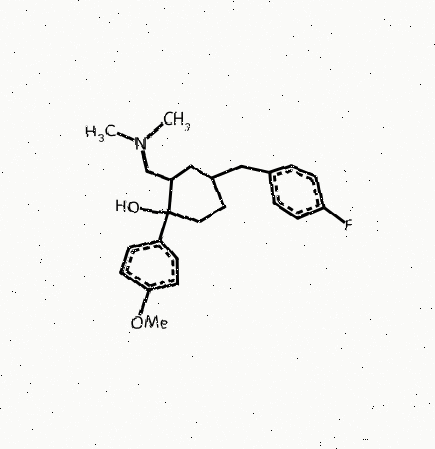 COc1ccc(C2(O)CCC(Cc3ccc(F)cc3)CC2CN(C)C)cc1